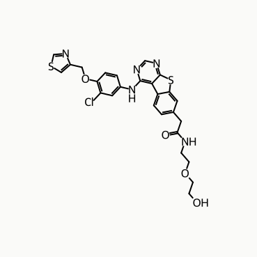 O=C(Cc1ccc2c(c1)sc1ncnc(Nc3ccc(OCc4cscn4)c(Cl)c3)c12)NCCOCCO